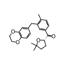 Cc1ccc(C(=O)[C@@H]2CCC(C)(C)O2)cc1Cc1ccc2c(c1)OCCO2